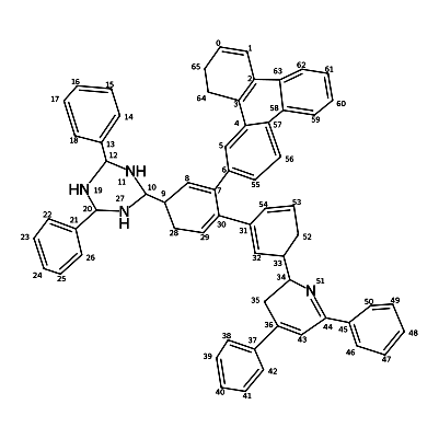 C1=Cc2c(c3cc(C4=CC(C5NC(c6ccccc6)NC(c6ccccc6)N5)CC=C4C4=CC(C5CC(c6ccccc6)=CC(c6ccccc6)=N5)CC=C4)ccc3c3ccccc23)CC1